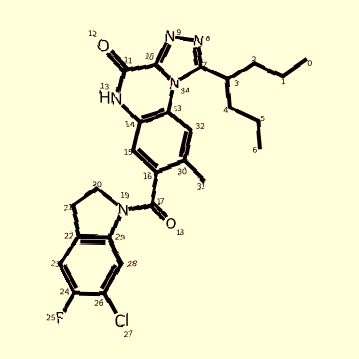 CCCC(CCC)c1nnc2c(=O)[nH]c3cc(C(=O)N4CCc5cc(F)c(Cl)cc54)c(C)cc3n12